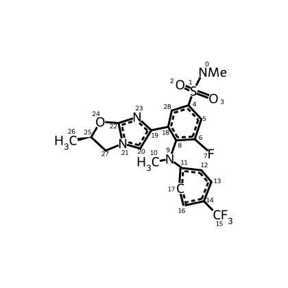 CNS(=O)(=O)c1cc(F)c(N(C)c2ccc(C(F)(F)F)cc2)c(-c2cn3c(n2)O[C@H](C)C3)c1